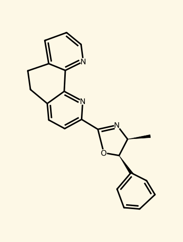 C[C@@H]1N=C(c2ccc3c(n2)-c2ncccc2CC3)O[C@@H]1c1ccccc1